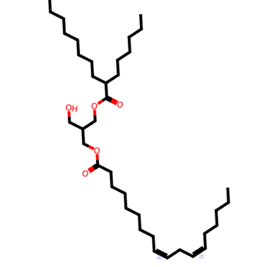 CCCCC/C=C\C/C=C\CCCCCCCC(=O)OCC(CO)COC(=O)C(CCCCCC)CCCCCCCC